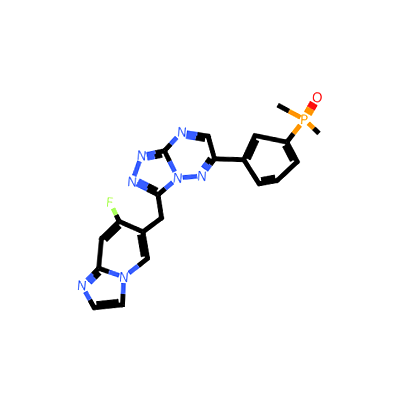 CP(C)(=O)c1cccc(-c2cnc3nnc(Cc4cn5ccnc5cc4F)n3n2)c1